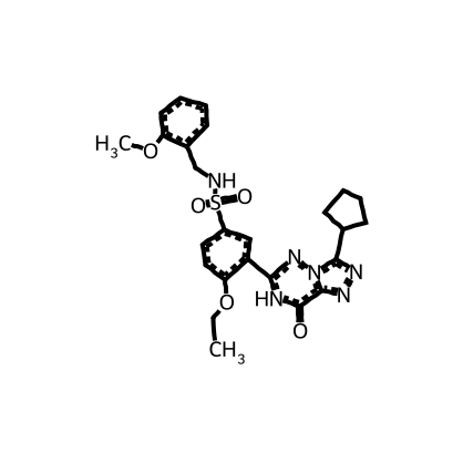 CCOc1ccc(S(=O)(=O)NCc2ccccc2OC)cc1-c1nn2c(C3CCCC3)nnc2c(=O)[nH]1